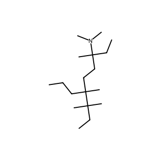 CCCC(C)(CCC(C)(CC)N(C)C)C(C)(C)CC